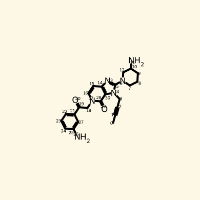 CC#CCn1c(N2CCCC(N)C2)nc2ccn(CC(=O)c3cccc(N)c3)c(=O)c21